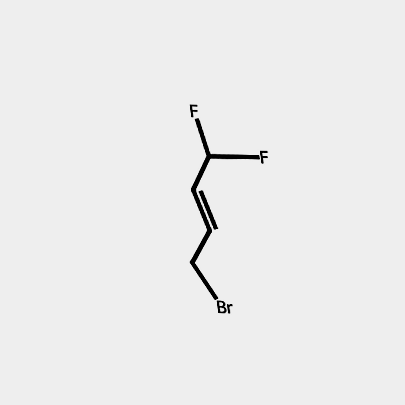 FC(F)C=CCBr